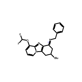 CC(C)(C)C1C/C(=N\Cc2ccccc2)c2nc3c(OC(F)F)cccn3c2C1